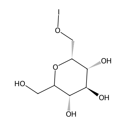 OCC1O[C@H](COI)[C@H](O)[C@@H](O)[C@@H]1O